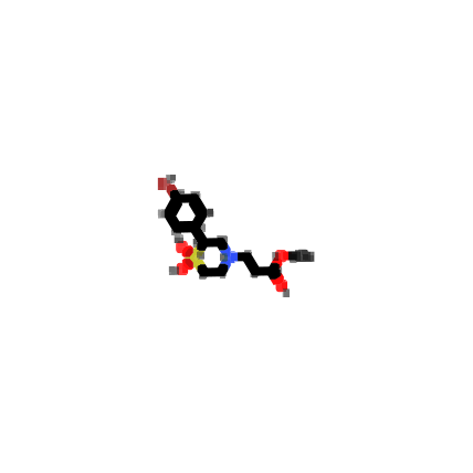 CC(C)(C)OC(=O)CCN1CCS(=O)(=O)C(c2ccc(Br)cc2)C1